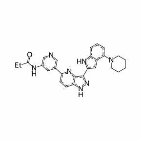 CCC(=O)Nc1cncc(-c2ccc3[nH]nc(-c4cc5c(N6CCCCC6)cccc5[nH]4)c3n2)c1